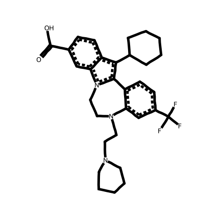 O=C(O)c1ccc2c(C3CCCCC3)c3n(c2c1)CCN(CCN1CCCCC1)c1cc(C(F)(F)F)ccc1-3